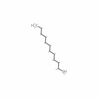 CCCCCCCCCC[CH]S